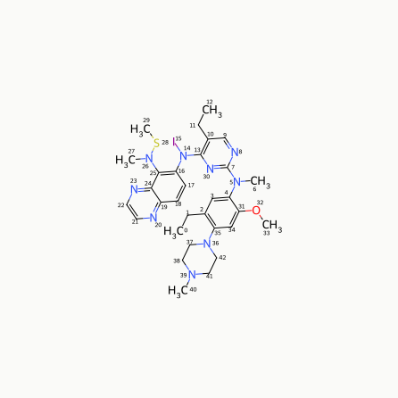 CCc1cc(N(C)c2ncc(CC)c(N(I)c3ccc4nccnc4c3N(C)SC)n2)c(OC)cc1N1CCN(C)CC1